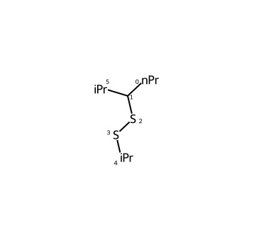 CCCC(SSC(C)C)C(C)C